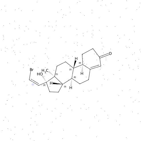 C[C@]12CC[C@H]3[C@@H](CCC4=CC(=O)CC[C@@H]43)[C@@H]1CC[C@@]2(O)/C=C\Br